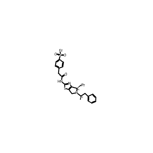 CCS(=O)(=O)c1ccc(CC(=O)Nc2nc3c(s2)CN([C@H](C)Cc2ccccc2)[C@@H]3C(C)C)cc1